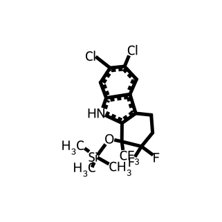 C[Si](C)(C)OC1(C(F)(F)F)c2[nH]c3cc(Cl)c(Cl)cc3c2CCC1(F)F